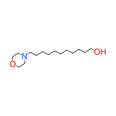 OCCCCCCCCCCCN1CCOCC1